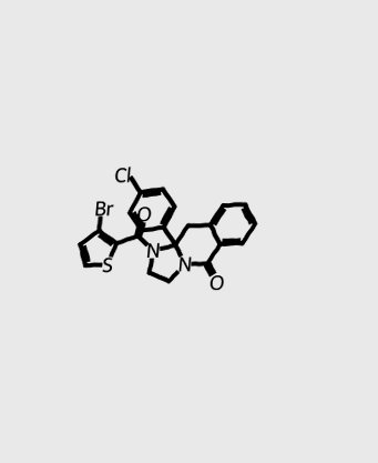 O=C1c2ccccc2CC2(c3ccc(Cl)cc3)N1CCN2C(=O)c1sccc1Br